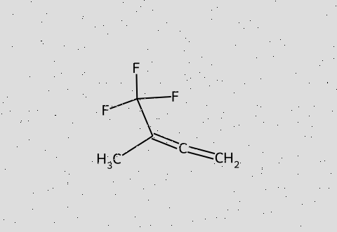 C=C=C(C)C(F)(F)F